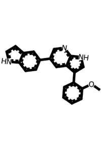 COc1ccccc1-c1c[nH]c2ncc(-c3ccc4[nH]ccc4c3)cc12